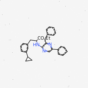 CCOC(=O)C(Cc1cccc(C2CC2)c1)Nc1ncc(-c2ccccc2)nc1Cc1ccccc1